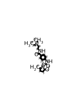 C=C1CCC(=O)N1OC(=O)Nc1ccc(C(=O)NCCN(CC)CC)cc1